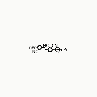 CCCc1ccc(CCc2ccc(C34CCC(CCC)(CC3)CC4)c(C#N)c2C#N)cc1C#N